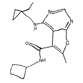 Cc1oc2ncnc(NC3(C)CC3)c2c1C(=O)NC1CCC1